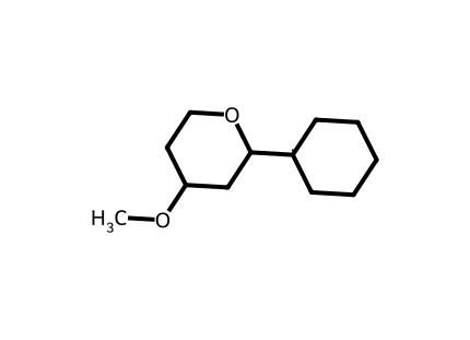 COC1CCOC([C]2CCCCC2)C1